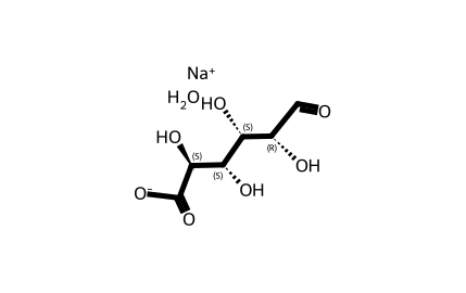 O.O=C[C@H](O)[C@@H](O)[C@H](O)[C@H](O)C(=O)[O-].[Na+]